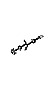 CCCC/C(C#Cc1ccc(C#CC(C)(C)O)cn1)=C(\C#Cc1ccc(C#C[Si](C(C)C)(C(C)C)C(C)C)nc1)CCC